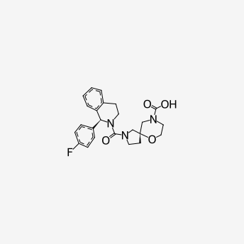 O=C(O)N1CCO[C@@]2(CCN(C(=O)N3CCc4ccccc4[C@@H]3c3ccc(F)cc3)C2)C1